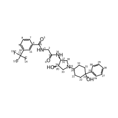 O=C(CNC(=O)c1cccc(C(F)(F)F)c1)N[C@H]1CN(C2CCC(O)(c3ccccc3)CC2)C[C@H]1O